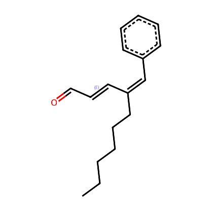 CCCCCCC(=Cc1ccccc1)/C=C/C=O